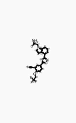 N#Cc1cc(-c2nc(-c3cccc4c3ccn4CC(N)=O)no2)ccc1OCC(F)(F)F